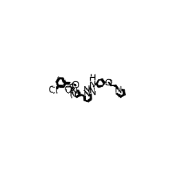 O=S(=O)(Cc1cccc(Cl)c1)n1cc(-c2cccc3nc(Nc4ccc(OCCN5CCCC5)cc4)nn23)cn1